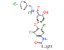 CCOC(=O)C(=O)Nc1cc(Cl)c(Oc2ccc(O)c(C(=O)N(Cl)Cc3ccc(Cl)cc3)c2)c(Cl)c1